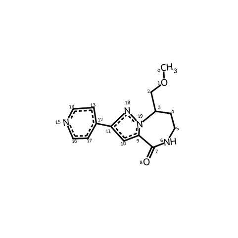 COCC1CCNC(=O)c2cc(-c3ccncc3)nn21